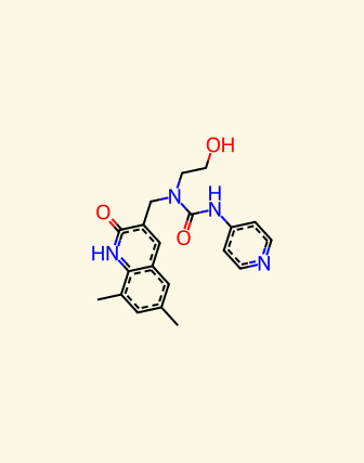 Cc1cc(C)c2[nH]c(=O)c(CN(CCO)C(=O)Nc3ccncc3)cc2c1